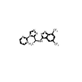 CC(Nc1snc2c(C(F)(F)F)cc(C(F)(F)F)cc12)c1nncn1-c1ncccn1